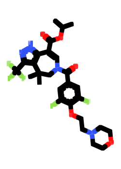 CC(C)OC(=O)C1=CN(C(=O)c2cc(F)c(OCCN3CCOCC3)c(F)c2)CC(C)(C)c2c(C(F)(F)F)n[nH]c21